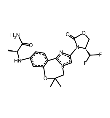 C[C@H](Nc1ccc2c(c1)OC(C)(C)Cn1cc(N3C(=O)OC[C@H]3C(F)F)nc1-2)C(N)=O